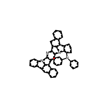 c1ccc(N(c2ccccc2)c2cccc3c4c5ccccc5cc5c6nc7c(cc6n(c23)c54)c2c3ccccc3cc3c4ccccc4n7c32)cc1